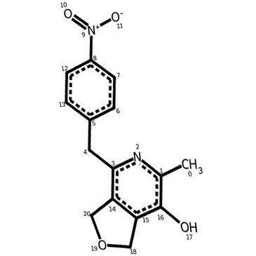 Cc1nc(Cc2ccc([N+](=O)[O-])cc2)c2c(c1O)COC2